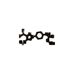 CC(C)(C)OC(=O)NC1CCC(n2cc([N+](=O)[O-])c(C(F)F)n2)CC1